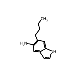 CCCCc1cc2[nH]ccc2cc1N